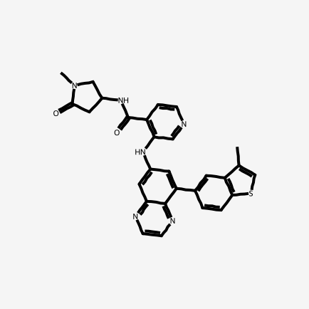 Cc1csc2ccc(-c3cc(Nc4cnccc4C(=O)NC4CC(=O)N(C)C4)cc4nccnc34)cc12